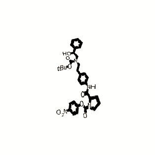 CC(C)(C)OC(=O)N(CCc1ccc(NC(=O)C2CCCN2C(=O)Oc2ccc([N+](=O)[O-])cc2)cc1)CC(O)c1ccccc1